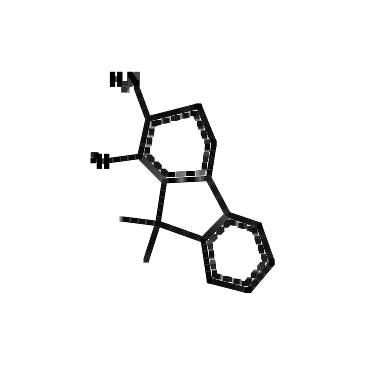 [2H]c1c(N)ccc2c1C(C)(C)c1ccccc1-2